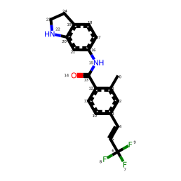 Cc1cc(C=CC(F)(F)F)ccc1C(=O)Nc1ccc2c(c1)NCC2